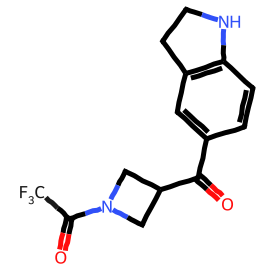 O=C(c1ccc2c(c1)CCN2)C1CN(C(=O)C(F)(F)F)C1